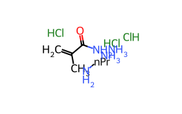 C=C(C)C(N)=O.CCCN.Cl.Cl.Cl.N.N